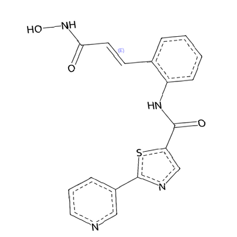 O=C(/C=C/c1ccccc1NC(=O)c1cnc(-c2cccnc2)s1)NO